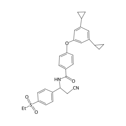 CCS(=O)(=O)c1ccc(C(CC#N)NC(=O)c2ccc(Oc3cc(C4CC4)cc(C4CC4)c3)cc2)cc1